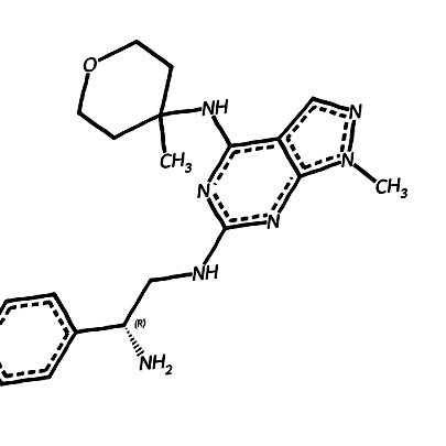 Cn1ncc2c(NC3(C)CCOCC3)nc(NC[C@H](N)c3ccccc3)nc21